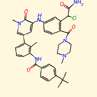 Cc1c(NC(=O)c2ccc(C(C)(C)C)cc2)cccc1-c1cc(Nc2ccc(C(=O)N3CCN(C)CC3)c(C(Cl)C(N)=O)c2)c(=O)n(C)c1